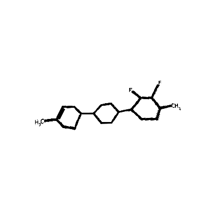 CC1=CCC(C2CCC(C3CCC(C)C(F)C3F)CC2)CC1